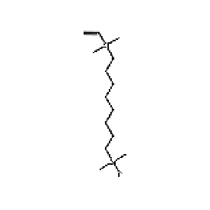 C=C[Si](C)(C)CCCCCCCC[Si](C)(C)Cl